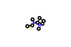 c1ccc(N(c2ccc3sc4ccccc4c3c2)c2cc3c4c5c6c(cccc6ccc5n(-c5ccccc5)c4c2)-c2ccccc2-3)cc1